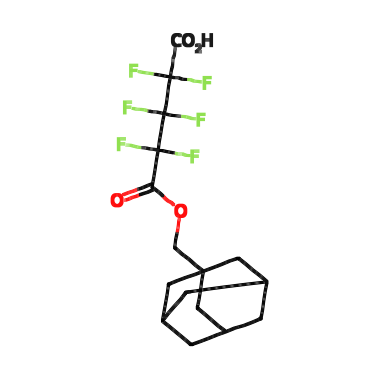 O=C(O)C(F)(F)C(F)(F)C(F)(F)C(=O)OCC12CC3CC(CC(C3)C1)C2